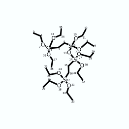 CCO[Si](CC[Si](OCC)(OCC)O[Si](CC[Si](OCC)(OCC)OCC)(OCC)OCC)(OCC)OCC